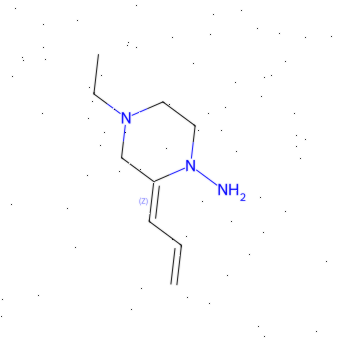 C=C/C=C1/CN(CC)CCN1N